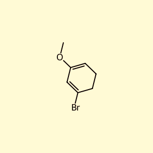 COC1=CCCC(Br)=C1